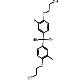 CCC(C)C(c1ccc(OCCO)c(C)c1)(c1ccc(OCCO)c(C)c1)C(C)C